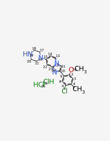 COc1cc(C)c(Cl)cc1-c1cn2ccc(N3CCNCC3)cc2n1.Cl.Cl